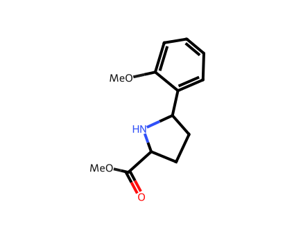 COC(=O)C1CCC(c2ccccc2OC)N1